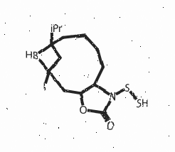 CC(C)C12BC(I)(CC3OC(=O)N(SS)C3CCCC1)C2